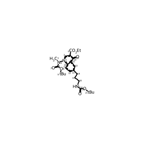 CCOC(=O)c1cn(N(C)C(=O)OC(C)(C)C)c2ccc(CCCNC(=O)OC(C)(C)C)cc2c1=O